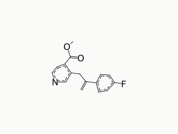 C=C(Cc1cnccc1C(=O)OC)c1ccc(F)cc1